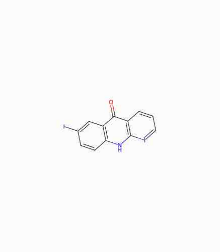 O=c1c2c([nH]c3ccc(I)cc13)I=CC=C2